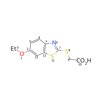 CCOc1ccc2nc(SCC(=O)O)sc2c1